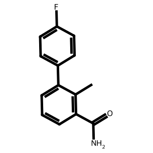 Cc1c(C(N)=O)cccc1-c1ccc(F)cc1